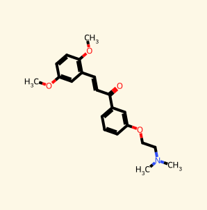 COc1ccc(OC)c(C=CC(=O)c2cccc(OCCN(C)C)c2)c1